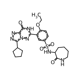 CCOc1ccc(S(=O)(=O)NC2CCCCNC2=O)cc1-c1nn2c(C3CCCC3)nnc2c(=O)[nH]1